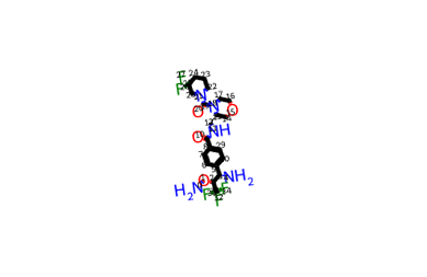 NOC([C@@H](N)c1ccc(C(=O)NC[C@H]2COCCN2C(=O)N2CCCC(F)(F)C2)cc1)C(F)(F)F